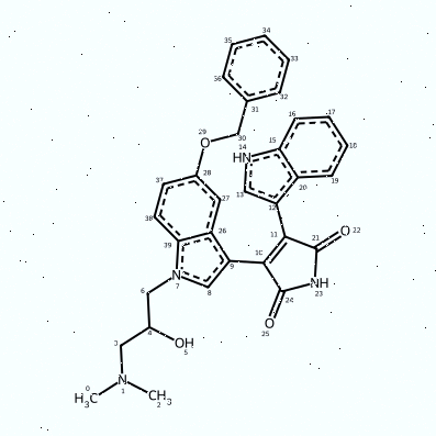 CN(C)CC(O)Cn1cc(C2=C(c3c[nH]c4ccccc34)C(=O)NC2=O)c2cc(OCc3ccccc3)ccc21